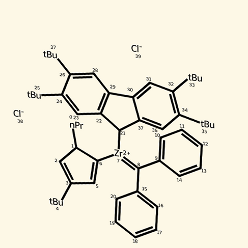 CCCC1C=C(C(C)(C)C)C=[C]1[Zr+2](=[C](c1ccccc1)c1ccccc1)[CH]1c2cc(C(C)(C)C)c(C(C)(C)C)cc2-c2cc(C(C)(C)C)c(C(C)(C)C)cc21.[Cl-].[Cl-]